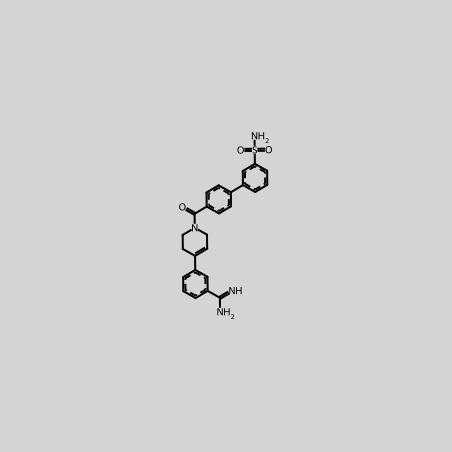 N=C(N)c1cccc(C2=CCN(C(=O)c3ccc(-c4cccc(S(N)(=O)=O)c4)cc3)CC2)c1